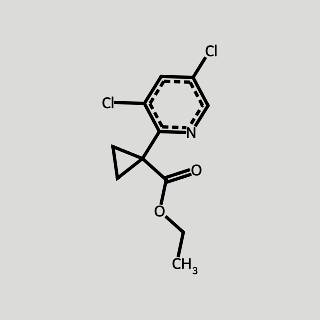 CCOC(=O)C1(c2ncc(Cl)cc2Cl)CC1